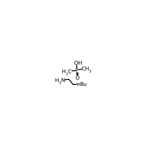 CCCCCCN.CP(C)(=O)O